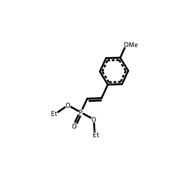 CCOP(=O)(C=Cc1ccc(OC)cc1)OCC